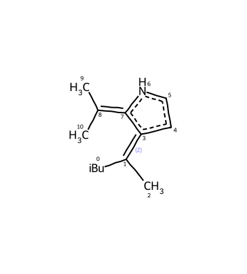 CCC(C)/C(C)=c1/cc[nH]c1=C(C)C